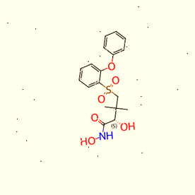 CC(C)(CS(=O)(=O)c1ccccc1Oc1ccccc1)[C@H](O)C(=O)NO